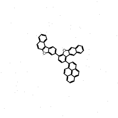 c1ccc2cc3c(cc2c1)oc1c(-c2ccc4c(c2)oc2ccc5ccccc5c24)ccc(-c2ccc4ccc5cccc6ccc2c4c56)c13